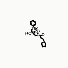 O=C(CCC1CCCC1)N1CC2[C@]3(O)CN(c4ccccc4)S(=O)(=O)[C@@]23C1